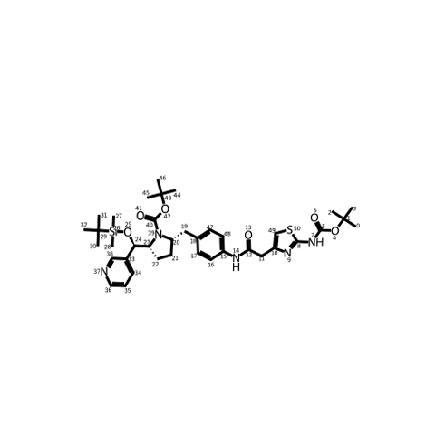 CC(C)(C)OC(=O)Nc1nc(CC(=O)Nc2ccc(C[C@@H]3CC[C@H]([C@H](O[Si](C)(C)C(C)(C)C)c4cccnc4)N3C(=O)OC(C)(C)C)cc2)cs1